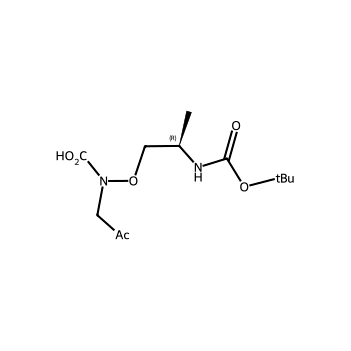 CC(=O)CN(OC[C@@H](C)NC(=O)OC(C)(C)C)C(=O)O